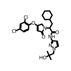 CC(C)(O)Cn1ccc(NC(=O)C(CC2CCCCC2)N2CC(Oc3ccc(Cl)cc3Cl)=CC2=O)n1